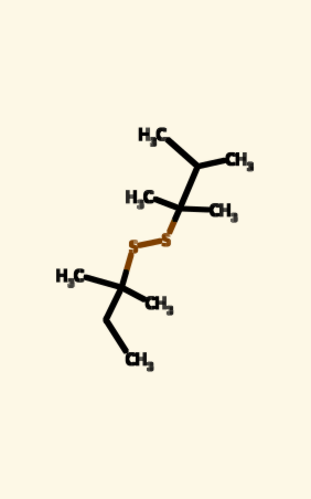 CCC(C)(C)SSC(C)(C)C(C)C